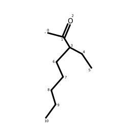 [CH2]C(=O)C(CC)CCCCC